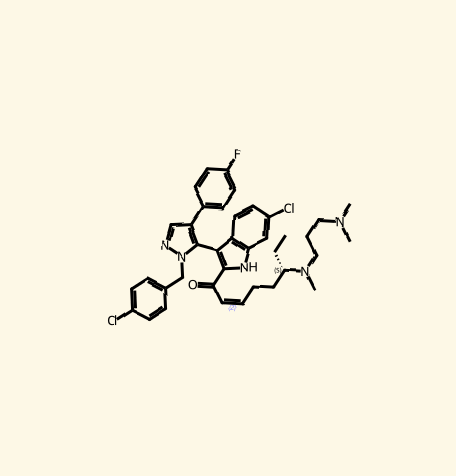 CC[C@@H](CC/C=C\C(=O)c1[nH]c2cc(Cl)ccc2c1-c1c(-c2ccc(F)cc2)cnn1Cc1ccc(Cl)cc1)N(C)CCCN(C)C